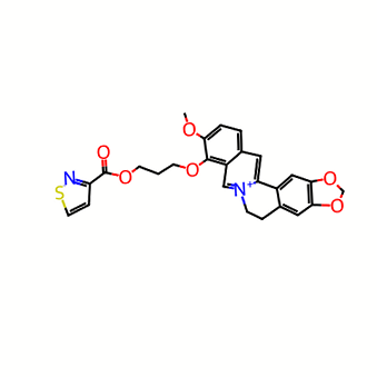 COc1ccc2cc3[n+](cc2c1OCCCOC(=O)c1ccsn1)CCc1cc2c(cc1-3)OCO2